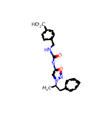 CC(Cc1ccccc1)[n+]1cc([N-]C(=O)NCc2ccc(C(=O)O)cc2)on1